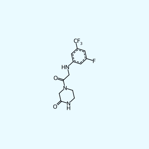 O=C1CN(C(=O)CNc2cc(F)cc(C(F)(F)F)c2)CCN1